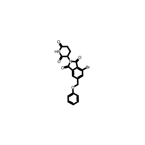 O=C1CCC(N2C(=O)c3cc(COc4ccccc4)cc(Br)c3C2=O)C(=O)N1